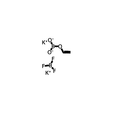 C=COB([O-])[O-].FB(F)F.[K+].[K+]